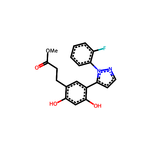 COC(=O)CCc1cc(-c2ccnn2-c2ccccc2F)c(O)cc1O